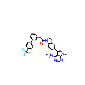 Cn1cc(-c2ccc3c(c2)CCN3C(=O)Cc2cccc(-c3ccc(C(F)(F)F)cc3)c2)c2c(N)ncnc21